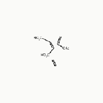 C=C.C=COC(C)=O.O=C(O)/C=C\C(=O)O